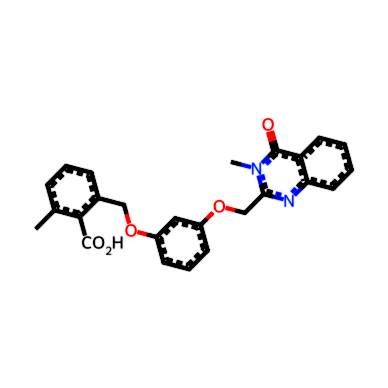 Cc1cccc(COc2cccc(OCc3nc4ccccc4c(=O)n3C)c2)c1C(=O)O